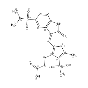 Cc1[nH]c(/C=C2\C(=O)Nc3ccc(S(=O)(=O)N(C)C)cc32)c(CCC(=O)O)c1S(C)(=O)=O